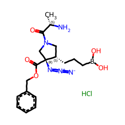 C[C@H](N)C(=O)N1C[C@H](CCCB(O)O)[C@](N=[N+]=[N-])(C(=O)OCc2ccccc2)C1.Cl